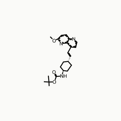 COc1ccc2nccc(/C=C/[C@H]3CC[C@H](NC(=O)OC(C)(C)C)CC3)c2n1